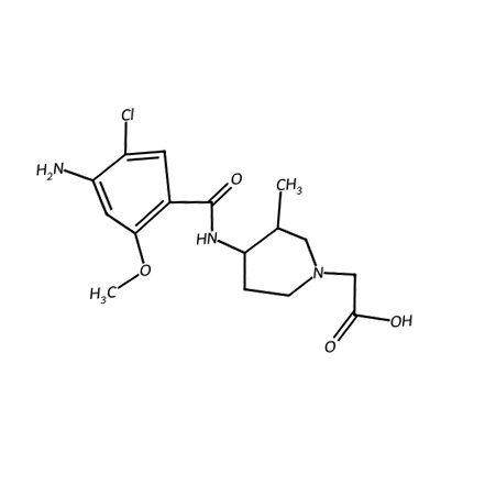 COc1cc(N)c(Cl)cc1C(=O)NC1CCN(CC(=O)O)CC1C